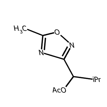 CC(=O)OC(c1noc(C)n1)C(C)C